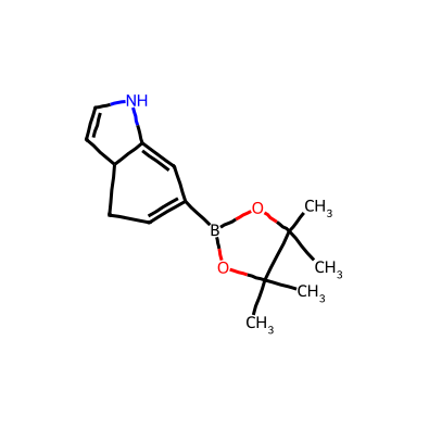 CC1(C)OB(C2=CCC3C=CNC3=C2)OC1(C)C